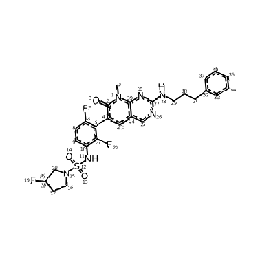 Cn1c(=O)c(-c2c(F)ccc(NS(=O)(=O)N3CC[C@@H](F)C3)c2F)cc2cnc(NCCCc3ccccc3)nc21